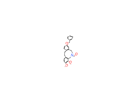 COc1ccc2c(c1OC)CN(C=O)CCc1cc(OCc3ccccc3)ccc1CC2